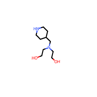 OCCN(CCO)CC1CCNCC1